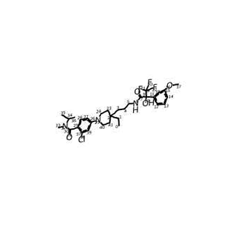 CCC1(CCCNC(=O)C(O)(c2cccc(OC)c2)C(F)(F)F)CCN(c2ccc(C(=O)N(C)C(C)C)c(Cl)c2)CC1